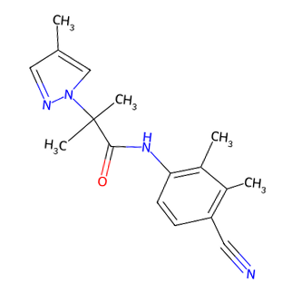 Cc1cnn(C(C)(C)C(=O)Nc2ccc(C#N)c(C)c2C)c1